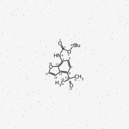 CC(C)(C)OC(=O)Nc1ccc(P(C)(C)=O)c2ccoc12